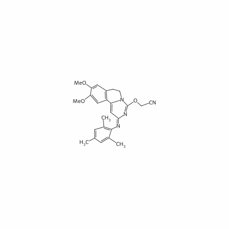 COc1cc2c(cc1OC)-c1c/c(=N\c3c(C)cc(C)cc3C)nc(OCC#N)n1CC2